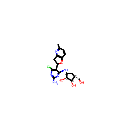 Cc1ccc2c(n1)CC(c1c(Cl)nc(N)nc1N[C@@H]1C[C@H](CO)[C@@H](O)[C@H]1O)O2